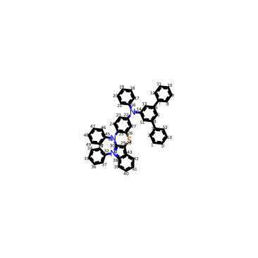 c1ccc(-c2cc(-c3ccccc3)cc(N(c3ccccc3)c3ccc4c(c3)Sc3c(n(-c5ccccc5)c5ccccc35)N4c3ccccc3)c2)cc1